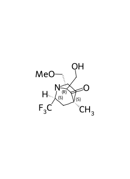 COC[C@]1(CO)C(=O)[C@@]2(C)CCN1[C@H](C(F)(F)F)C2